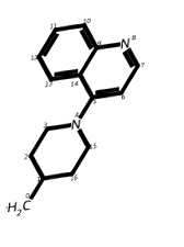 [CH2]C1CCN(c2ccnc3ccccc23)CC1